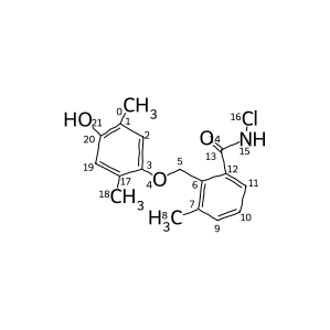 Cc1cc(OCc2c(C)cccc2C(=O)NCl)c(C)cc1O